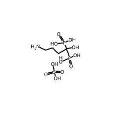 NCCCC(O)(P(=O)(O)O)P(=O)(O)O.O=S(=O)(O)O